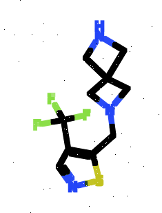 FC(F)(F)c1cnsc1CN1CC2(CNC2)C1